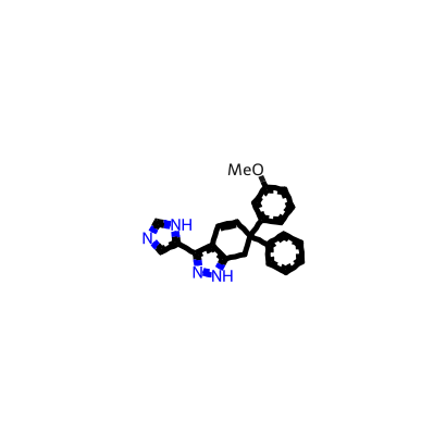 COc1cccc(C2(c3ccccc3)C=Cc3c(-c4cnc[nH]4)n[nH]c3C2)c1